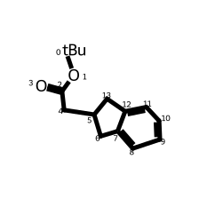 CC(C)(C)OC(=O)CC1Cc2ccccc2C1